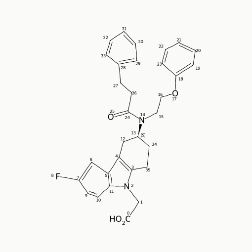 O=C(O)Cn1c2c(c3cc(F)ccc31)C[C@@H](N(CCOc1ccccc1)C(=O)CCc1ccccc1)CC2